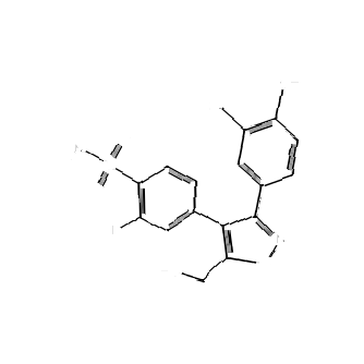 Cc1ccc(-c2noc(CO)c2-c2ccc(S(N)(=O)=O)c(F)c2)cc1Cl